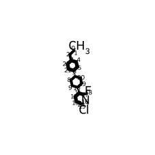 CCCc1ccc([C@H]2CC[C@H](c3ccc(Cl)nc3F)CC2)cc1